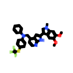 COc1cc2c(-c3cc4c(CN(c5ccccc5)c5ccc(SC(F)(F)F)cc5)ccnc4[nH]3)cn(C)c2cc1OC